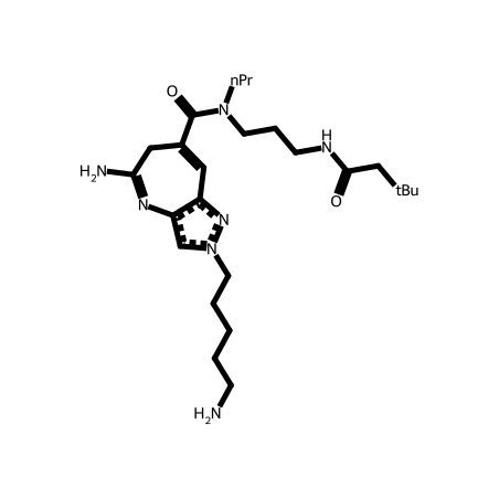 CCCN(CCCNC(=O)CC(C)(C)C)C(=O)C1=Cc2nn(CCCCCN)cc2N=C(N)C1